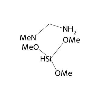 CNCN.CO[SiH](OC)OC